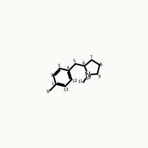 Cc1ccc(CC2CCCN2C)cc1